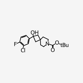 CC(C)(C)OC(=O)N1CCC2(CC1)CC(O)(c1ccc(F)c(Cl)c1)C2